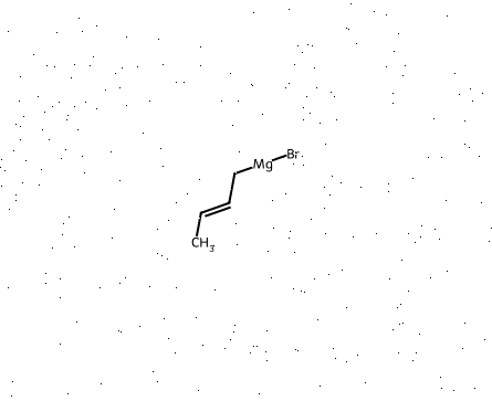 CC=C[CH2][Mg][Br]